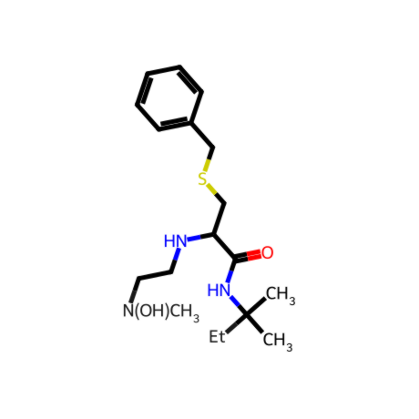 CCC(C)(C)NC(=O)C(CSCc1ccccc1)NCCN(C)O